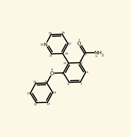 NC(=O)c1cccc(Oc2ccccc2)c1-c1cccnc1